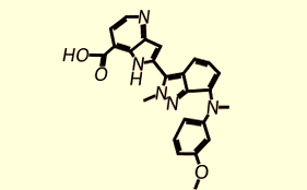 COc1cccc(N(C)c2cccc3c(-c4cc5nccc(C(=O)O)c5[nH]4)n(C)nc23)c1